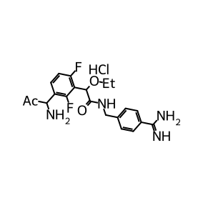 CCOC(C(=O)NCc1ccc(C(=N)N)cc1)c1c(F)ccc(C(N)C(C)=O)c1F.Cl